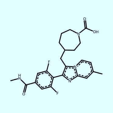 CNC(=O)c1cc(F)c(-c2nc3cc(C)ccn3c2CC2CCCN(C(=O)O)CC2)c(F)c1